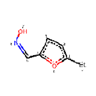 CCc1ccc(/C=N\O)o1